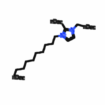 CCCCCCCCCCCCCCCCCCC[n+]1ccn(CCCCCCCCCCC)c1CCCCCCCCCC